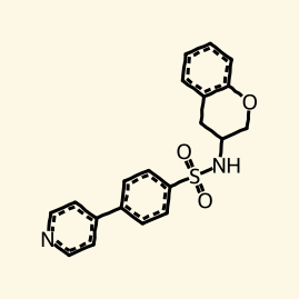 O=S(=O)(NC1COc2ccccc2C1)c1ccc(-c2ccncc2)cc1